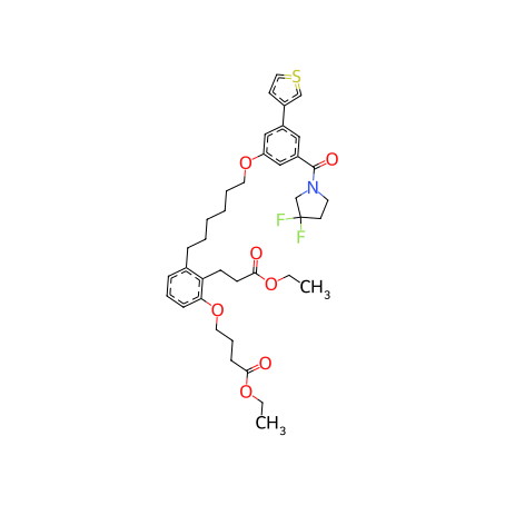 CCOC(=O)CCCOc1cccc(CCCCCCOc2cc(C(=O)N3CCC(F)(F)C3)cc(-c3ccsc3)c2)c1CCC(=O)OCC